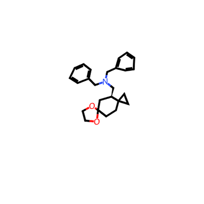 c1ccc(CN(Cc2ccccc2)C[C@@H]2CC3(CCC24CC4)OCCO3)cc1